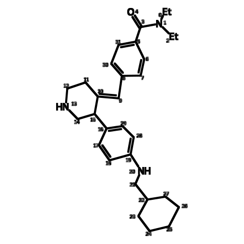 CCN(CC)C(=O)c1ccc(C=C2CCNCC2c2ccc(NCC3CCCCC3)cc2)cc1